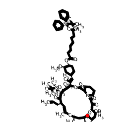 C=CC[C@@H]1/C=C(\C)C[C@H](C)C[C@H](OC)[C@H]2O[C@@](O)(C(=O)C(=O)N3CCCC[C@H]3C(=O)O[C@H](/C(C)=C/[C@@H]3CC[C@@H](OC(=O)CCCCCCC(=O)O[Si](c4ccccc4)(c4ccccc4)C(C)(C)C)[C@H](OC)C3)[C@H](C)[C@@H](O[Si](C)(C)C(C)(C)C)CC1=O)[C@H](C)C[C@@H]2OC